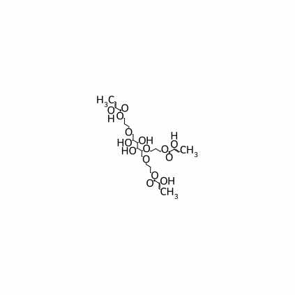 CC=C(O)C(=O)OCCCOCC(O)C(O)C(O)C(COCCCOC(=O)C(O)=CC)OCCCOC(=O)C(O)=CC